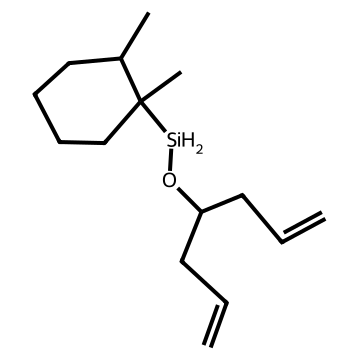 C=CCC(CC=C)O[SiH2]C1(C)CCCCC1C